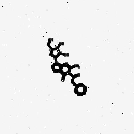 Nc1nc2c(ncn2[C@@H]2O[C@H](CO)[C@@H](O)[C@H]2O)c(=O)n1C(=O)Cc1ccccc1